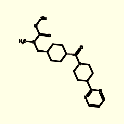 CN(C[C@H]1CC[C@H](C(=O)N2CCC(c3ncccn3)CC2)CC1)C(=O)OC(C)(C)C